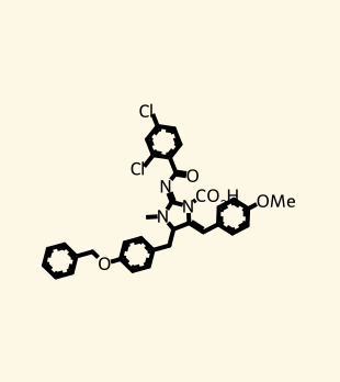 COc1ccc(C=C2C(Cc3ccc(OCc4ccccc4)cc3)N(C)C(=NC(=O)c3ccc(Cl)cc3Cl)N2C(=O)O)cc1